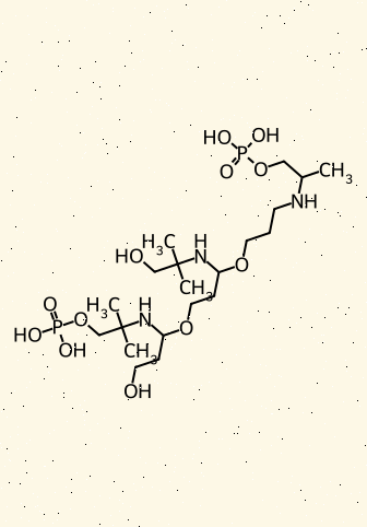 CC(COP(=O)(O)O)NCCCOC(CCOC(CCO)NC(C)(C)COP(=O)(O)O)NC(C)(C)CO